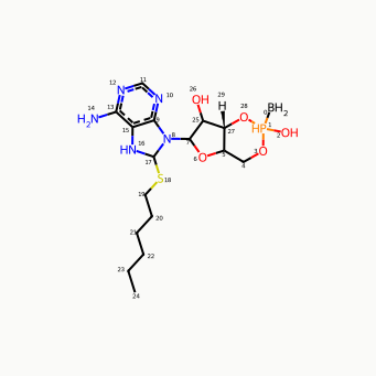 B[PH]1(O)OCC2OC(N3c4ncnc(N)c4NC3SCCCCCC)C(O)[C@@H]2O1